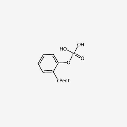 CCCCCc1ccccc1OP(=O)(O)O